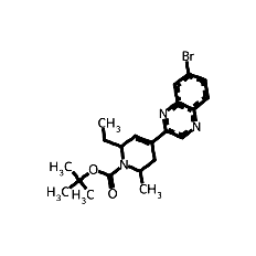 CCC1C=C(c2cnc3ccc(Br)cc3n2)CC(C)N1C(=O)OC(C)(C)C